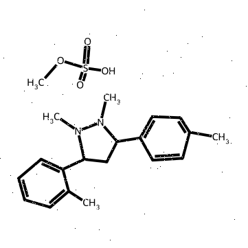 COS(=O)(=O)O.Cc1ccc(C2CC(c3ccccc3C)N(C)N2C)cc1